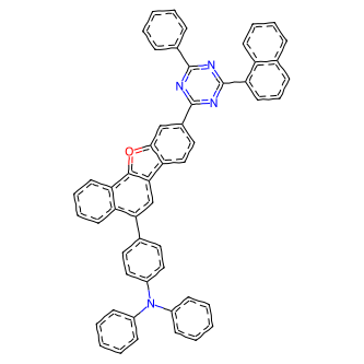 c1ccc(-c2nc(-c3ccc4c(c3)oc3c5ccccc5c(-c5ccc(N(c6ccccc6)c6ccccc6)cc5)cc43)nc(-c3cccc4ccccc34)n2)cc1